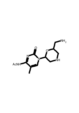 CC(=O)Nc1nc(=O)n(C2CNCC(CN)O2)cc1C